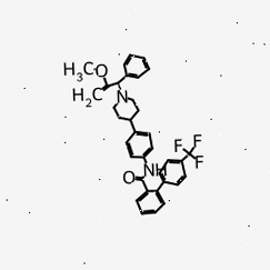 C=C(OC)[C@@H](c1ccccc1)N1CCC(c2ccc(NC(=O)c3ccccc3-c3ccc(C(F)(F)F)cc3)cc2)CC1